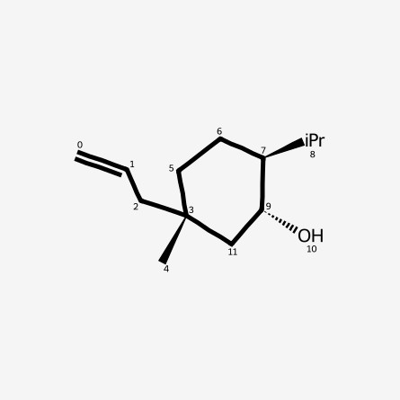 C=CC[C@]1(C)CC[C@@H](C(C)C)[C@H](O)C1